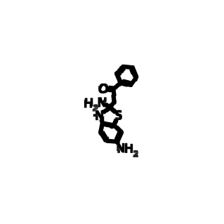 Nc1ccc2c(c1)SC(N)(CC(=O)c1ccccc1)[N]2